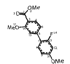 COC(=O)c1ccc(-c2ccc(OC)cc2F)cc1OC